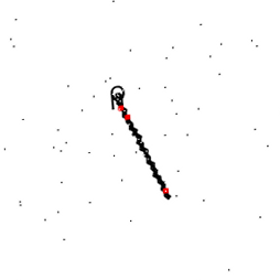 CCCCCCCCCCCCCCCCCCCCCCCCCCCCCN=C=O